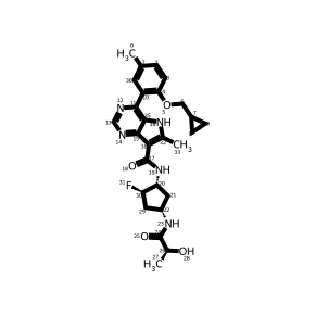 Cc1ccc(OCC2CC2)c(-c2ncnc3c(C(=O)N[C@@H]4C[C@H](NC(=O)[C@H](C)O)C[C@H]4F)c(C)[nH]c23)c1